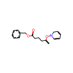 C=C(CCCC(=O)OCc1ccccc1)ON1C=CC=CC1